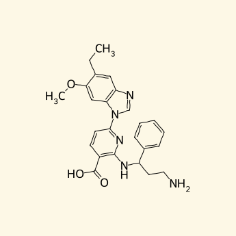 CCc1cc2ncn(-c3ccc(C(=O)O)c(NC(CCN)c4ccccc4)n3)c2cc1OC